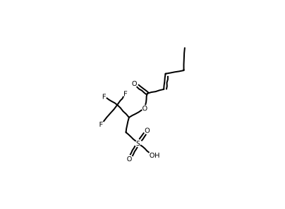 CC/C=C/C(=O)OC(CS(=O)(=O)O)C(F)(F)F